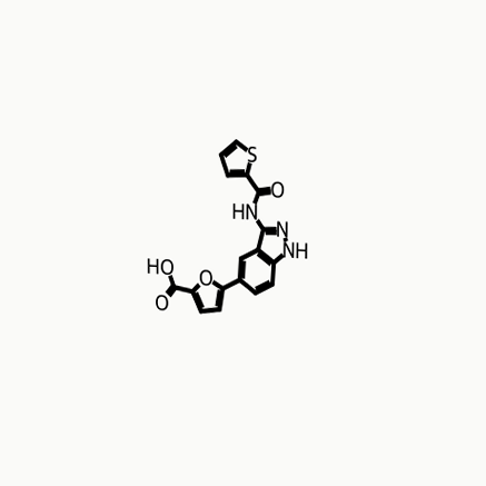 O=C(O)c1ccc(-c2ccc3[nH]nc(NC(=O)c4cccs4)c3c2)o1